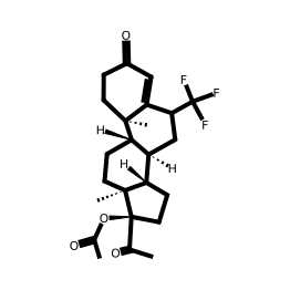 CC(=O)O[C@]1(C(C)=O)CC[C@H]2[C@@H]3CC(C(F)(F)F)C4=CC(=O)CC[C@]4(C)[C@H]3CC[C@@]21C